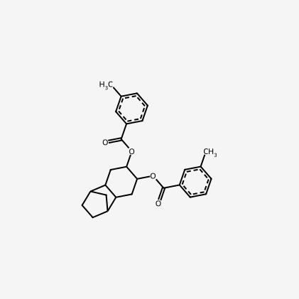 Cc1cccc(C(=O)OC2CC3C4CCC(C4)C3CC2OC(=O)c2cccc(C)c2)c1